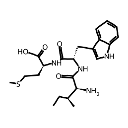 CC[C@H](C)[C@H](N)C(=O)N[C@@H](Cc1c[nH]c2ccccc12)C(=O)N[C@@H](CCSC)C(=O)O